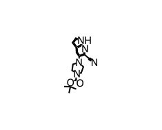 CC(C)(C)OC(=O)N1CCN(c2cc3cc[nH]c3nc2C#N)CC1